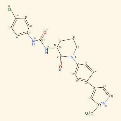 COc1cc(-c2ccc(N3CCC[C@@H](NC(=O)Nc4ccc(Cl)cc4)C3=O)cc2)ccn1